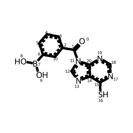 O=C(c1cccc(B(O)O)c1)n1cnc2c(S)ncnc21